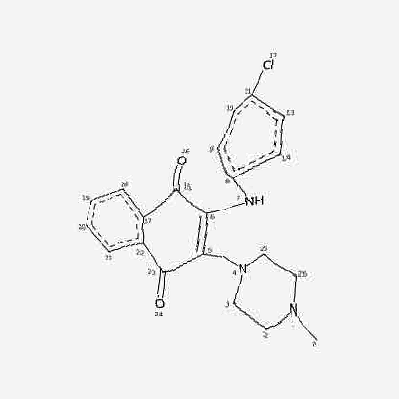 CN1CCN(C2=C(Nc3ccc(Cl)cc3)C(=O)c3ccccc3C2=O)CC1